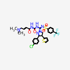 CN(C)C/C=C/C(=O)NC(=O)N/C(=N/S(=O)(=O)c1ccc(C(F)(F)F)cc1)N1CC(c2cccs2)C(c2ccc(Cl)cc2)=N1